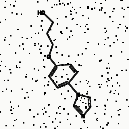 OCCCOc1ccc(-n2ccnc2)cc1